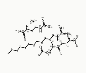 CC(=O)O.CCCCCCCCCCCCNC(=N)N.CN(C)C(=S)SSC(=S)N(C)C.S=C([S-])NCCNC(=S)[S-].[Zn+2]